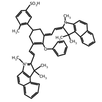 Cc1ccc(S(=O)(=O)O)cc1C1CC(/C=C/C2=[N+](C)c3ccc4ccccc4c3C2(C)C)=C(Oc2ccccc2)C(=C/C=C2/N(C)c3ccc4ccccc4c3C2(C)C)/C1